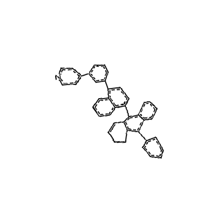 C1=Cc2c(c(-c3ccccc3)c3ccccc3c2-c2ccc(-c3cccc(-c4ccncc4)c3)c3ccccc23)CC1